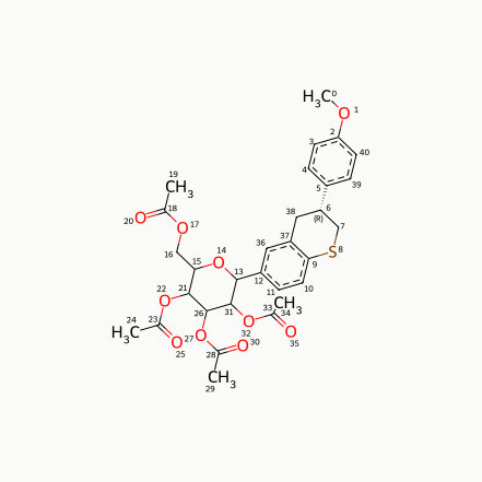 COc1ccc([C@@H]2CSc3ccc(C4OC(COC(C)=O)C(OC(C)=O)C(OC(C)=O)C4OC(C)=O)cc3C2)cc1